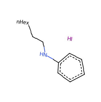 CCCCCCCCNc1ccccc1.I